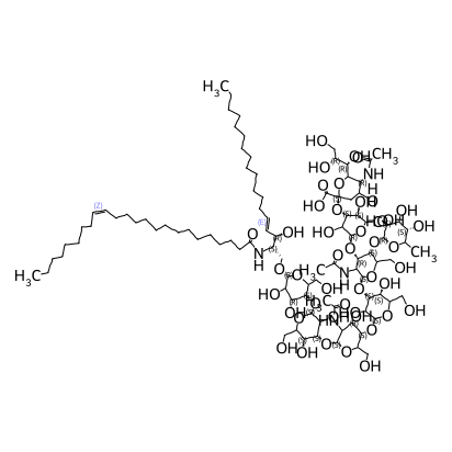 CCCCCCCC/C=C\CCCCCCCCCCCCCC(=O)N[C@@H](CO[C@@H]1OC(CO)[C@@H](O[C@@H]2OC(CO)[C@H](O)[C@H](O[C@@H]3OC(CO)[C@@H](O[C@@H]4OC(CO)[C@H](O)[C@H](O[C@@H]5OC(CO)[C@@H](O[C@H]6OC(C)[C@@H](O)C(O)[C@@H]6O)[C@H](O[C@@H]6OC(CO)[C@H](O)[C@H](O[C@]7(C(=O)O)CC(O)[C@@H](NC(C)=O)C([C@H](O)[C@H](O)CO)O7)C6O)C5NC(C)=O)C4O)[C@H](O)C3NC(C)=O)C2O)[C@H](O)C1O)[C@H](O)/C=C/CCCCCCCCCCCCC